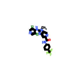 Cn1c(Nc2c(Cl)cncc2Cl)nc2cc(C(=O)N[C@H]3CC[C@H](C(F)(F)F)CC3)ncc21